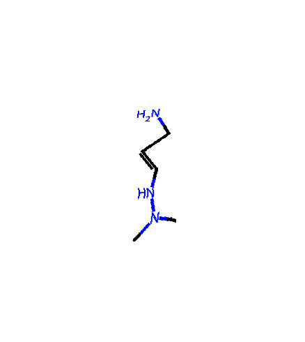 CN(C)NC=CCN